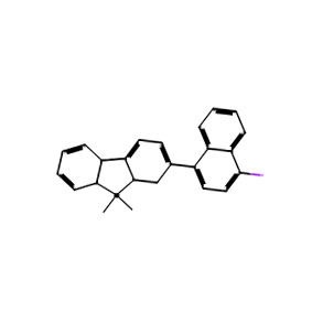 CC1(C)C2CC(c3ccc(I)c4ccccc34)=CC=C2C2C=CC=CC21